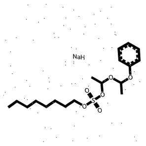 CCCCCCCCOS(=O)(=O)OC(C)OC(C)Oc1ccccc1.[NaH]